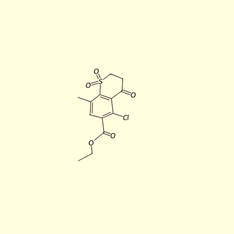 CCOC(=O)c1cc(C)c2c(c1Cl)C(=O)CCS2(=O)=O